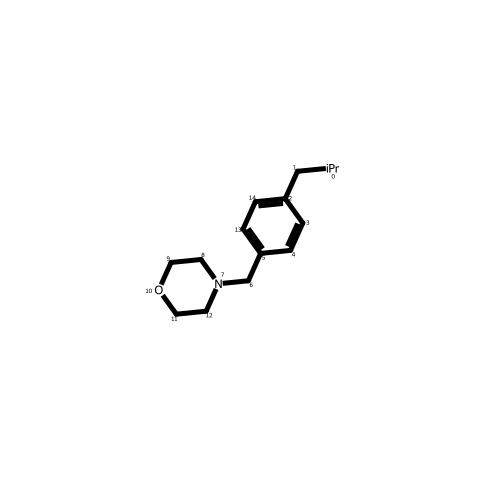 CC(C)Cc1ccc(CN2CCOCC2)cc1